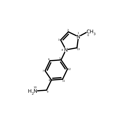 CN1C=CN(c2ccc(CN)cc2)C1